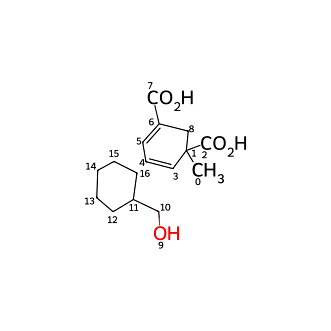 CC1(C(=O)O)C=CC=C(C(=O)O)C1.OCC1CCCCC1